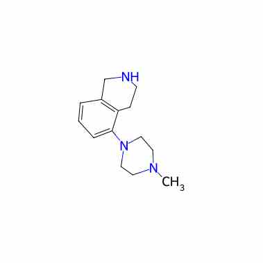 CN1CCN(c2cccc3c2CCNC3)CC1